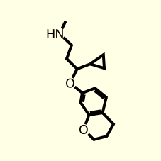 CNCCC(Oc1ccc2c(c1)OCCC2)C1CC1